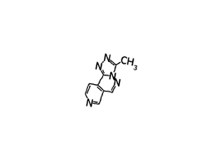 Cc1nnc2c3ccncc3cnn12